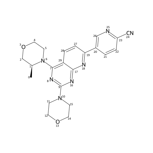 C[C@H]1COCCN1c1nc(N2CCOCC2)nc2nc(-c3ccc(C#N)nc3)ccc12